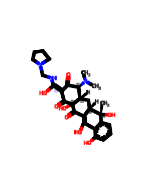 CN(C)[C@@H]1C(=O)/C(=C(/O)NCN2CCCC2)C(=O)[C@@]2(O)C(=O)C3=C(O)c4c(O)cccc4[C@@](C)(O)[C@H]3C[C@@H]12